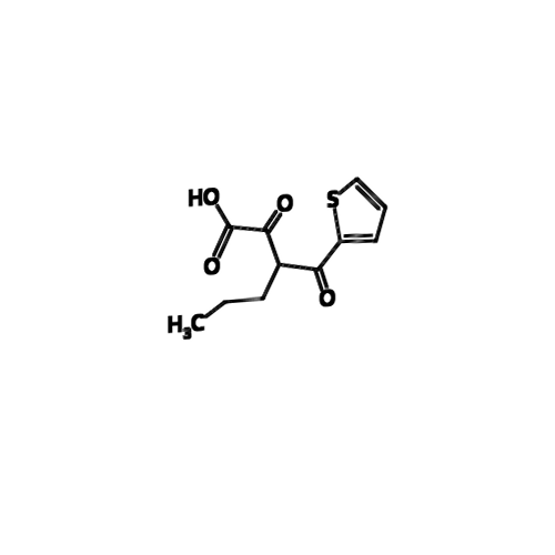 CCCC(C(=O)C(=O)O)C(=O)c1cccs1